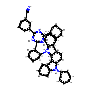 N#Cc1cccc(-c2nc(-c3ccccc3)nc(-c3ccccc3-n3c4ccccc4c4ccc5c(c6ccccc6n5-c5ccccc5)c43)n2)c1